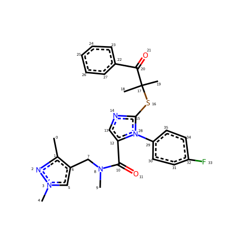 Cc1nn(C)cc1CN(C)C(=O)c1cnc(SC(C)(C)C(=O)c2ccccc2)n1-c1ccc(F)cc1